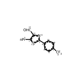 CCCc1sc(-c2ccc(C(F)(F)F)cc2)nc1C=O